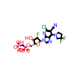 N#Cc1c(Cl)nc2c(ncn2[C@@H]2O[C@H](COP(=O)(O)CP(=O)(O)O)[C@@H](O)[C@@H]2F)c1N1CCC(F)(F)C1